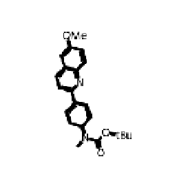 COc1ccc2nc(C3=CCC(N(C)C(=O)OC(C)(C)C)C=C3)ccc2c1